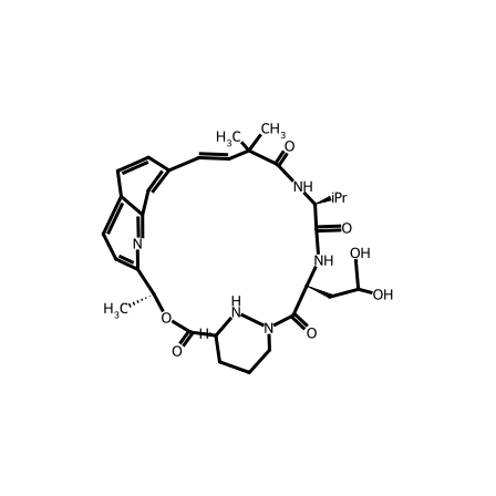 CC(C)[C@@H]1NC(=O)C(C)(C)/C=C/c2ccc3ccc(nc3c2)[C@@H](C)OC(=O)[C@@H]2CCCN(N2)C(=O)[C@H](CC(O)O)NC1=O